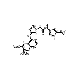 COc1cc2ncnc(Oc3cnn(CC(=O)Nc4cc(C5CC5)[nH]n4)c3)c2cc1OC